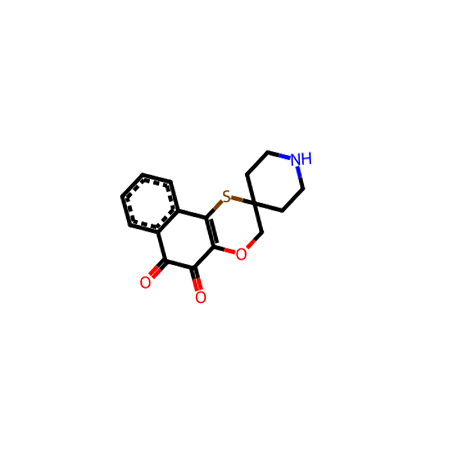 O=C1C(=O)c2ccccc2C2=C1OCC1(CCNCC1)S2